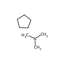 CN(C)C.[CH]1CCCC1